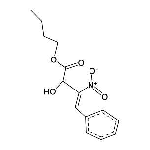 CCCCOC(=O)C(O)C(=Cc1ccccc1)[N+](=O)[O-]